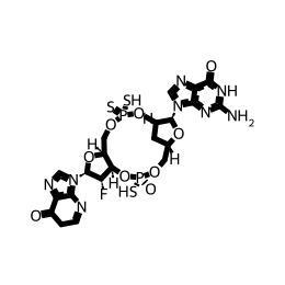 Nc1nc2c(ncn2[C@@H]2O[C@@H]3COP(=O)(S)O[C@H]4[C@H](F)[C@H](n5cnc6c5N=CCC6=O)O[C@H]4COP(=S)(S)O[C@@H]2C3)c(=O)[nH]1